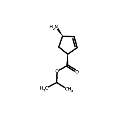 CC(C)OC(=O)[C@@H]1C=C[C@H](N)C1